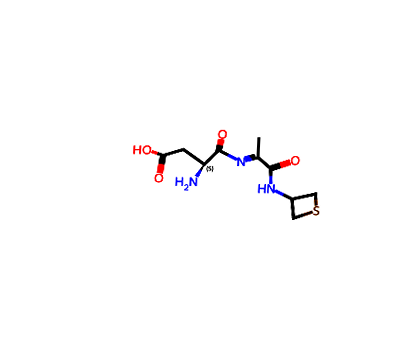 CC(=NC(=O)[C@@H](N)CC(=O)O)C(=O)NC1CSC1